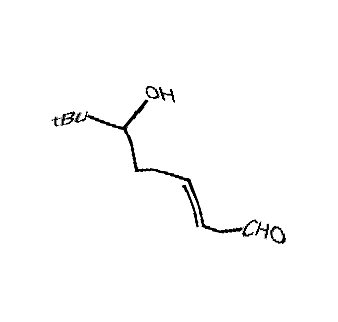 CC(C)(C)C(O)CC=CC=O